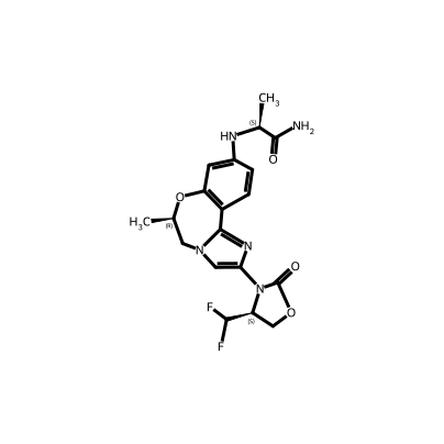 C[C@@H]1Cn2cc(N3C(=O)OC[C@H]3C(F)F)nc2-c2ccc(N[C@@H](C)C(N)=O)cc2O1